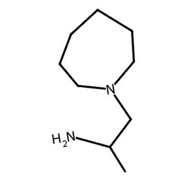 CC(N)CN1CCCCCC1